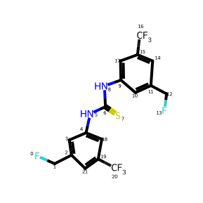 FCc1cc(NC(=S)Nc2cc(CF)cc(C(F)(F)F)c2)cc(C(F)(F)F)c1